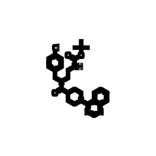 CC(C)(C)OC(=O)NCCN(Cc1ccc(Cl)cc1)C(=O)C1CCN(c2ncnc3ccccc23)CC1